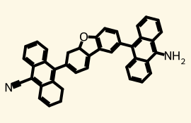 N#Cc1c2c(c(C3=CC=C4c5cc(-c6c7ccccc7c(N)c7ccccc67)ccc5OC4C3)c3ccccc13)CCC=C2